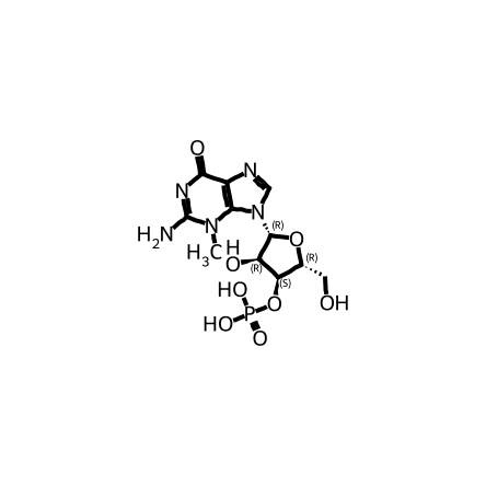 Cn1c(N)nc(=O)c2ncn([C@@H]3O[C@H](CO)[C@@H](OP(=O)(O)O)[C@H]3O)c21